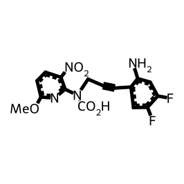 COc1ccc([N+](=O)[O-])c(N(CC#Cc2cc(F)c(F)cc2N)C(=O)O)n1